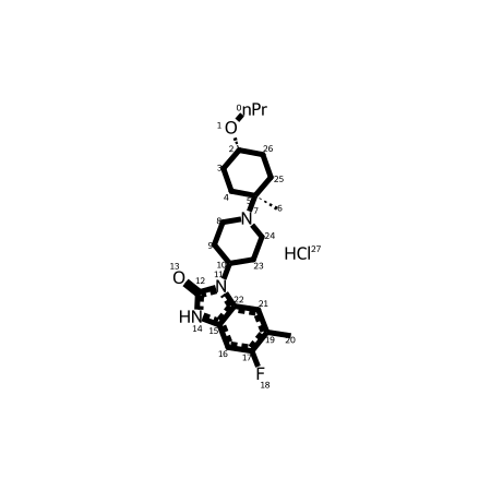 CCCO[C@H]1CC[C@](C)(N2CCC(n3c(=O)[nH]c4cc(F)c(C)cc43)CC2)CC1.Cl